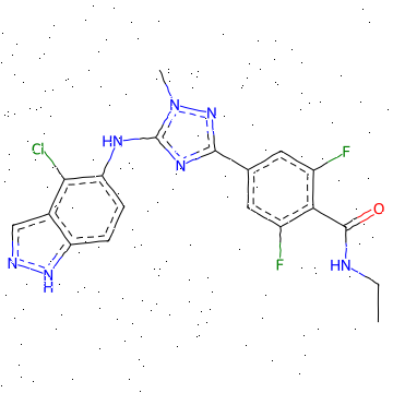 CCNC(=O)c1c(F)cc(-c2nc(Nc3ccc4[nH]ncc4c3Cl)n(C)n2)cc1F